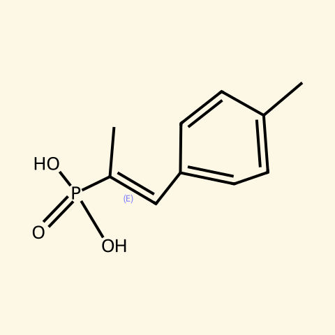 C/C(=C\c1ccc(C)cc1)P(=O)(O)O